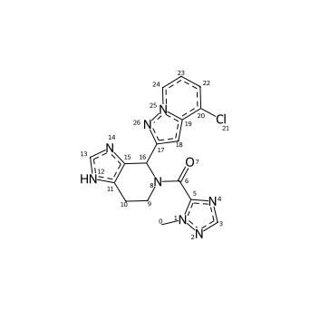 Cn1ncnc1C(=O)N1CCc2[nH]cnc2C1c1cc2c(Cl)cccn2n1